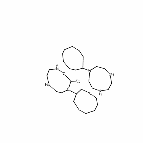 C1CCCCC(N2CCNCCNCC2)CCC1.CCC1CNCCNCCN1C1CCCCCCCC1